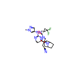 Cn1cc(Nc2nccc(C3=CC4CCC(C3)N4C3(CC#N)CN(C(=O)[C@@H]4CC4(F)F)C3)n2)cn1